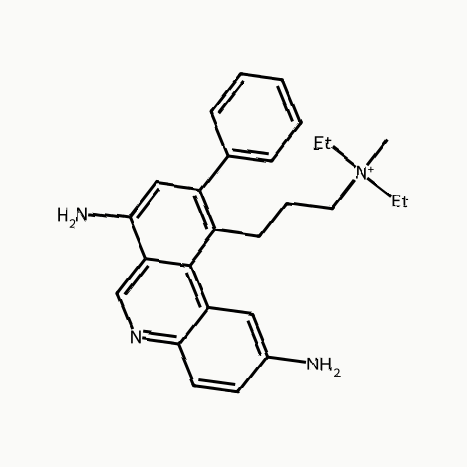 CC[N+](C)(CC)CCCc1c(-c2ccccc2)cc(N)c2cnc3ccc(N)cc3c12